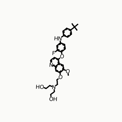 COc1cc2c(Oc3ccc(Nc4ccc(C(C)(C)C)cc4)cc3F)ccnc2cc1OCCN(CCO)CCO